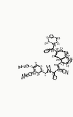 COc1ccc(CNC(=O)/C(C#N)=C/c2c[nH]c3ncc(C(=O)N4CCOCC4)cc23)cc1OC